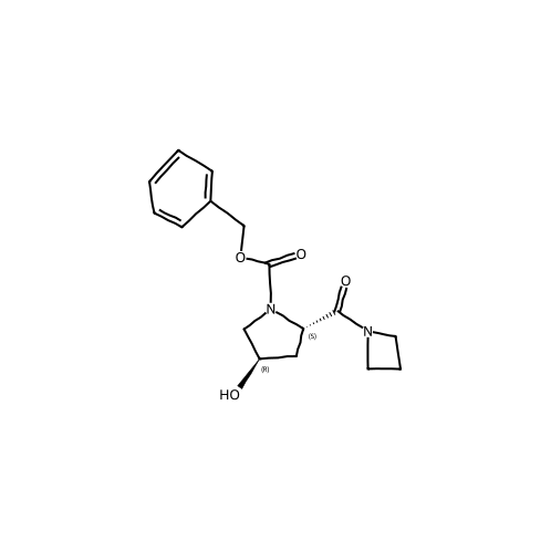 O=C([C@@H]1C[C@@H](O)CN1C(=O)OCc1ccccc1)N1CCC1